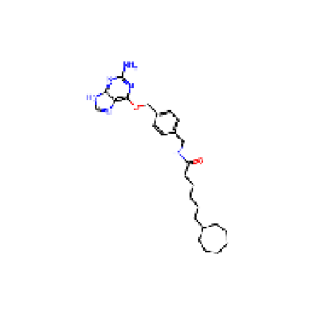 Nc1nc(OCc2ccc(CNC(=O)CCCCCC3CCCCCC3)cc2)c2nc[nH]c2n1